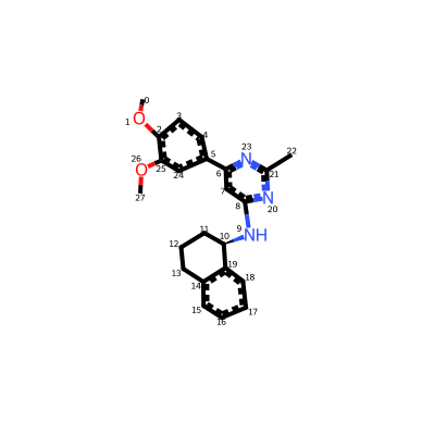 COc1ccc(-c2cc(N[C@@H]3CCCc4ccccc43)nc(C)n2)cc1OC